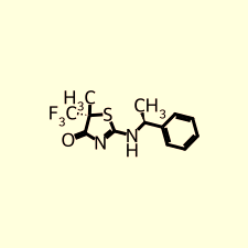 C[C@H](NC1=NC(=O)[C@](C)(C(F)(F)F)S1)c1ccccc1